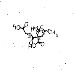 CC(C)C[C@](N)(C(=O)O)C(=O)[C@@H](N)CC(=O)O